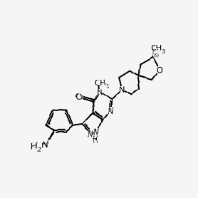 C[C@H]1CC2(CCN(c3nc4[nH]nc(-c5cccc(N)c5)c4c(=O)n3C)CC2)CO1